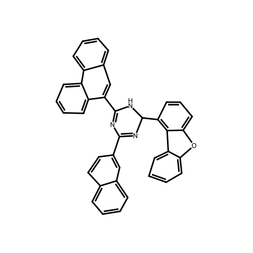 c1ccc2cc(C3=NC(c4cccc5oc6ccccc6c45)NC(c4cc5ccccc5c5ccccc45)=N3)ccc2c1